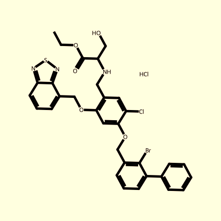 CCOC(=O)C(CO)NCc1cc(Cl)c(OCc2cccc(-c3ccccc3)c2Br)cc1OCc1cccc2nsnc12.Cl